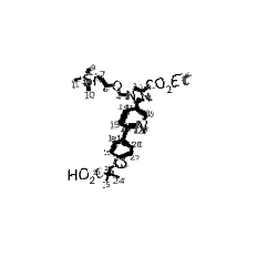 CCOC(=O)c1cn(COCC[Si](C)(C)C)c(-c2ccc(-c3ccc(OCC(C)(C)C(=O)O)cc3)nc2)n1